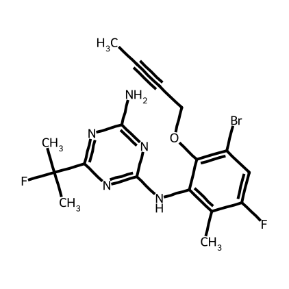 CC#CCOc1c(Br)cc(F)c(C)c1Nc1nc(N)nc(C(C)(C)F)n1